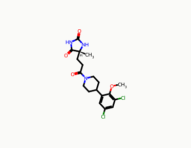 COc1c(Cl)cc(Cl)cc1C1CCN(C(=O)CC[C@@]2(C)NC(=O)NC2=O)CC1